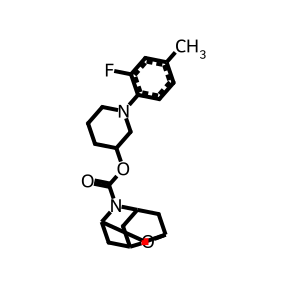 Cc1ccc(N2CCCC(OC(=O)N3C4CC5CC3CC(C4)O5)C2)c(F)c1